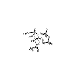 O=P(O)(O)OP(=O)(O)OP(=O)(O)O.O=[PH](O)O[PH](=O)O